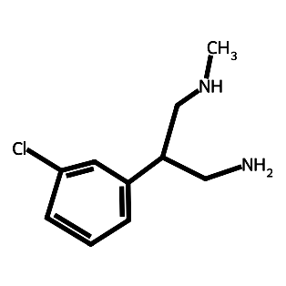 CNCC(CN)c1cccc(Cl)c1